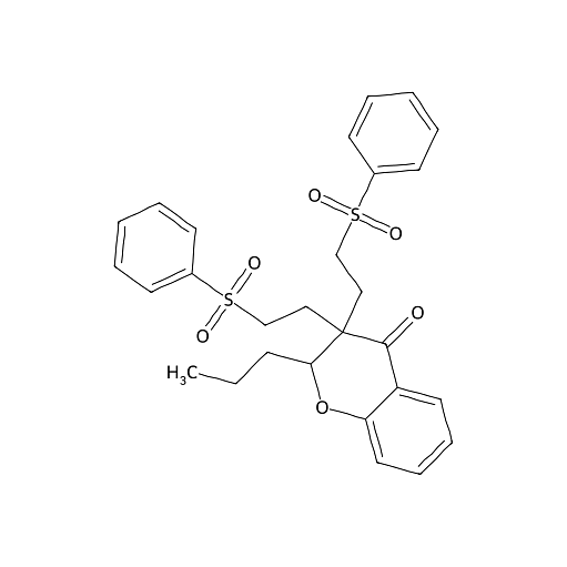 CCCC1Oc2ccccc2C(=O)C1(CCS(=O)(=O)c1ccccc1)CCS(=O)(=O)c1ccccc1